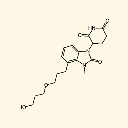 Cn1c(=O)n(C2CCC(=O)NC2=O)c2cccc(CCCOCCCO)c21